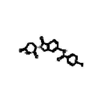 O=C1CCC(N2Cc3cc(NC(=O)c4ccc(F)cc4)ccc3C2=O)C(=O)N1